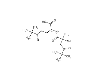 CC(C)(C)C(=O)CC(C)(S)C(=O)N[C@@H](CSC(=O)C(C)(C)C)C(=O)O